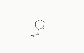 [SH][Sn][CH]1CCCCO1